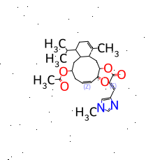 CC(=O)OC1C/C=C\C(=O)C(OC(=O)/C=C/c2cn(C)cn2)CC2C(C)=CCC(C(C)C)C2C1